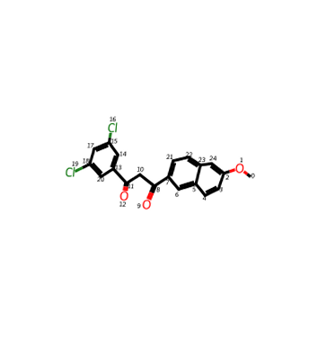 COc1ccc2cc(C(=O)CC(=O)c3cc(Cl)cc(Cl)c3)ccc2c1